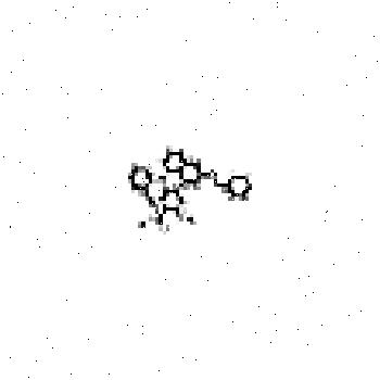 COC(=O)c1cc(Oc2ccccc2C#N)c(-c2cc(OCc3ccccc3)cc3ccccc23)cc1N